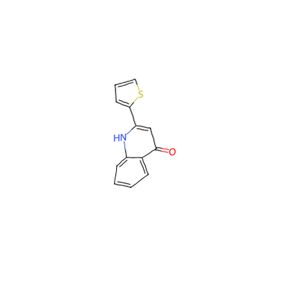 O=c1cc(-c2cccs2)[nH]c2ccccc12